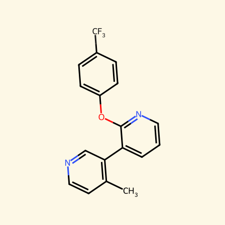 Cc1ccncc1-c1cccnc1Oc1ccc(C(F)(F)F)cc1